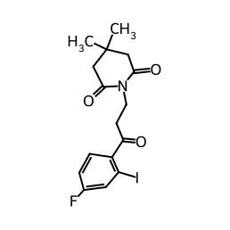 CC1(C)CC(=O)N(CCC(=O)c2ccc(F)cc2I)C(=O)C1